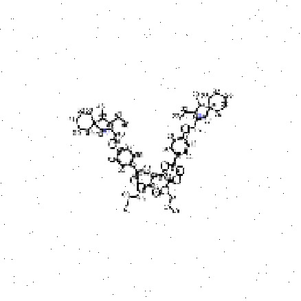 CCCOC(=O)[C@H](OC(=O)c1ccc(OC/C=C/C2(C(C)CCC)CCCCC2)cc1)[C@@H](OC(=O)c1ccc(OC/C=C/C2(C(C)CCC)CCCCC2)cc1)C(=O)OCCC